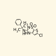 CC(C)(NC1=NS(=O)(=O)c2sc(Cl)cc2N1)c1ccccc1